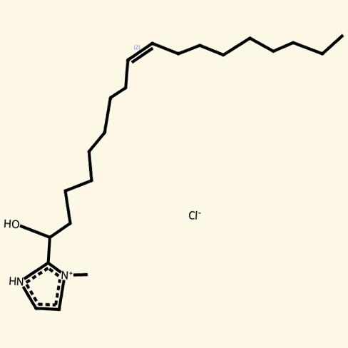 CCCCCCCC/C=C\CCCCCCCC(O)c1[nH]cc[n+]1C.[Cl-]